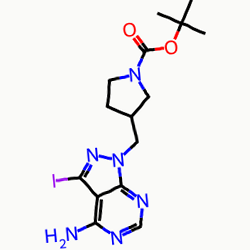 CC(C)(C)OC(=O)N1CCC(Cn2nc(I)c3c(N)ncnc32)C1